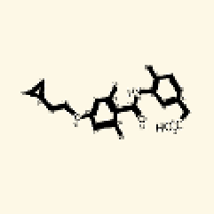 Cc1ccc(CC(=O)O)cc1NC(=O)c1c(C)cc(OCCC2CC2)cc1C